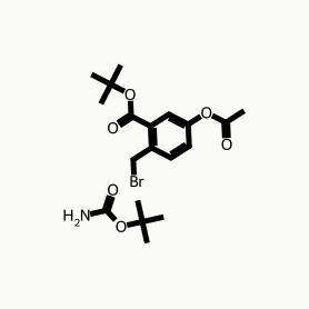 CC(=O)Oc1ccc(CBr)c(C(=O)OC(C)(C)C)c1.CC(C)(C)OC(N)=O